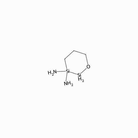 N[Si]1(N)CCCO[SiH2]1